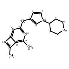 CC1=Nc2nc(Nc3cnn(C4CCOCC4)c3)nc(C)c21